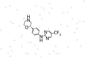 FC(F)(F)c1cnc(Nc2ccc([C@@H]3CNCCO3)cc2)nc1